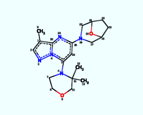 Cc1cnn2c(N3CCOCC3(C)C)cc(N3CC4CCC(C3)O4)nc12